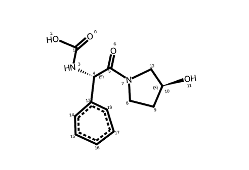 O=C(O)N[C@H](C(=O)N1CC[C@H](O)C1)c1ccccc1